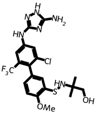 COc1ccc(-c2c(Cl)cc(Nc3n[nH]c(N)n3)cc2C(F)(F)F)cc1SNC(C)(C)CO